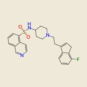 O=S(=O)(NC1CCN(CCC2=CCc3c(F)cccc32)CC1)c1cccc2cnccc12